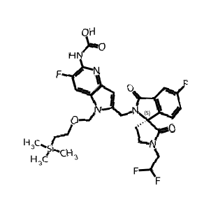 C[Si](C)(C)CCOCn1c(CN2C(=O)c3cc(F)ccc3[C@]23CCN(CC(F)F)C3=O)cc2nc(NC(=O)O)c(F)cc21